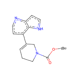 CC(C)(C)OC(=O)N1CCC=C(c2ccnc3cc[nH]c23)C1